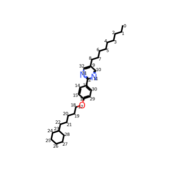 CCCCCCCCCc1cnc(-c2ccc(OCCCCCC3CCCCC3)cc2)nc1